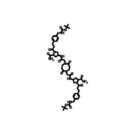 CC(C)(C)OC(=O)NCc1ccc(CCC(=O)N2CC(NC(=O)CN3CCC(=O)N(CC(=O)NC4CC(C(N)=O)N(C(=O)CCc5ccc(CNC(=O)OC(C)(C)C)cc5)C4)CCC3=O)CC2C(N)=O)cc1